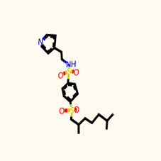 CC(C)CCCC(C)CS(=O)(=O)c1ccc(S(=O)(=O)NCCc2ccncc2)cc1